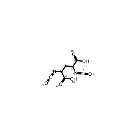 O=C=NC(CC(N=C=O)C(=O)O)C(=O)O